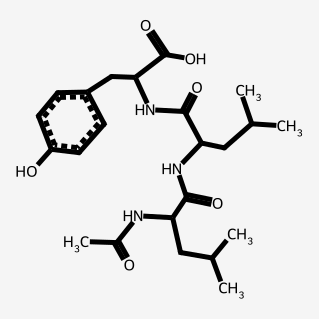 CC(=O)NC(CC(C)C)C(=O)NC(CC(C)C)C(=O)NC(Cc1ccc(O)cc1)C(=O)O